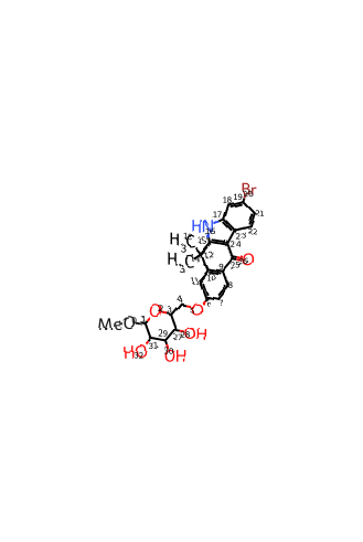 COC1OC(COc2ccc3c(c2)C(C)(C)c2[nH]c4cc(Br)ccc4c2C3=O)C(O)C(O)C1O